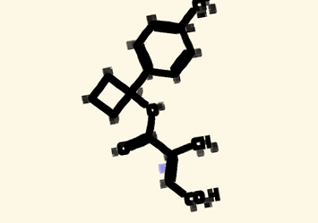 C/C(=C\C(=O)O)C(=O)OC1(c2ccc(C(F)(F)F)cc2)CCC1